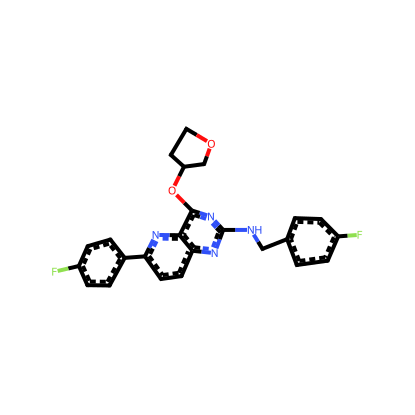 Fc1ccc(CNc2nc(OC3CCOC3)c3nc(-c4ccc(F)cc4)ccc3n2)cc1